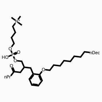 CCCCCCCCCCCCCCCCCCOc1ccccc1CC(COP(=O)(O)OCCCC[N+](C)(C)C)CC(=O)CCC